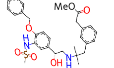 COC(=O)Cc1cccc(CC(C)(C)NC[C@H](O)c2ccc(OCc3ccccc3)c(NS(C)(=O)=O)c2)c1